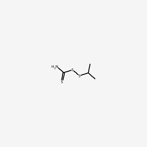 CC(C)SSC(N)=S